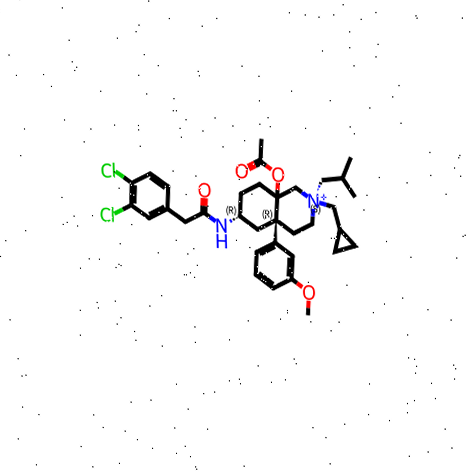 COc1cccc([C@]23CC[N@+](CC(C)C)(CC4CC4)CC2(OC(C)=O)CC[C@@H](NC(=O)Cc2ccc(Cl)c(Cl)c2)C3)c1